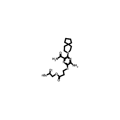 CCCCC(CC)COC(=O)CCSc1nc(C(N)=O)c(N2CCC3(CCCC3)CC2)nc1N